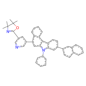 CC1(C)N=C(c2cncc(-c3cc4c(c5ccccc35)c3ccc(-c5ccc6ccccc6c5)cc3n4-c3ccccc3)c2)OC1(C)C